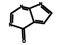 O=C1N=CN=C2N=CC=C12